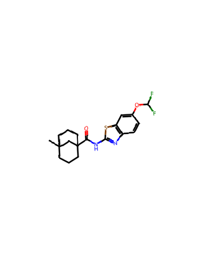 CC12CCCC(C(=O)Nc3nc4ccc(OC(F)F)cc4s3)(CCC1)C2